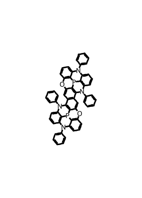 c1ccc(-n2c3cccc4oc5cc6c(cc7oc8cccc9c8p8c%10c(cccc%10n(-c%10ccccc%10)c6c78)n9-c6ccccc6)c6c5p(c43)c3c2cccc3n6-c2ccccc2)cc1